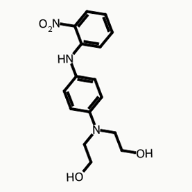 O=[N+]([O-])c1ccccc1Nc1ccc(N(CCO)CCO)cc1